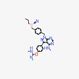 CCCB(C#N)Cc1ccc(Cn2nc(-c3ccc(O/C(=N\C)NC)cc3)c3c(NC)ncnc32)cc1